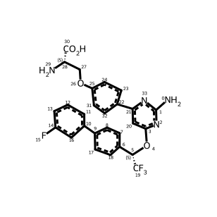 Nc1nc(O[C@@H](c2ccc(-c3cccc(F)c3)cc2)C(F)(F)F)cc(-c2ccc(OC[C@H](N)C(=O)O)cc2)n1